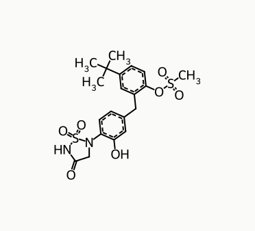 CC(C)(C)c1ccc(OS(C)(=O)=O)c(Cc2ccc(N3CC(=O)NS3(=O)=O)c(O)c2)c1